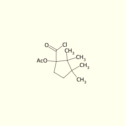 CC(=O)OC1(C(=O)Cl)CCC(C)(C)C1(C)C